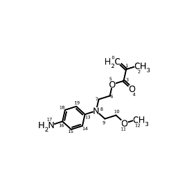 C=C(C)C(=O)OCCN(CCOC)c1ccc(N)cc1